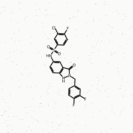 O=c1c2cc(NS(=O)(=O)c3ccc(F)c(Cl)c3)ccc2[nH]n1Cc1ccc(F)c(F)c1